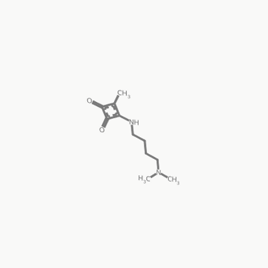 Cc1c(NCCCCN(C)C)c(=O)c1=O